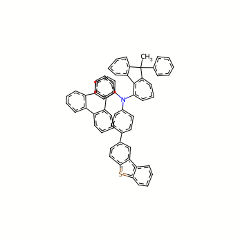 CC1(c2ccccc2)c2ccccc2-c2c(N(c3ccc(-c4ccc5sc6ccccc6c5c4)cc3)c3ccccc3-c3ccccc3-c3ccccc3-c3ccccc3)cccc21